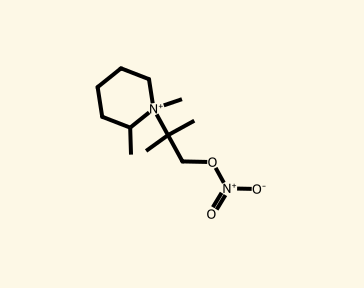 CC1CCCC[N+]1(C)C(C)(C)CO[N+](=O)[O-]